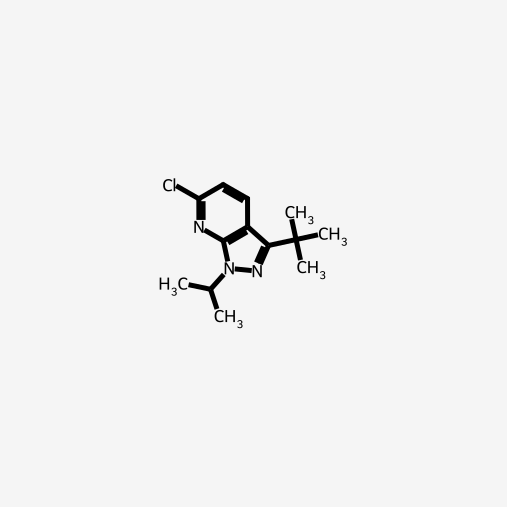 CC(C)n1nc(C(C)(C)C)c2ccc(Cl)nc21